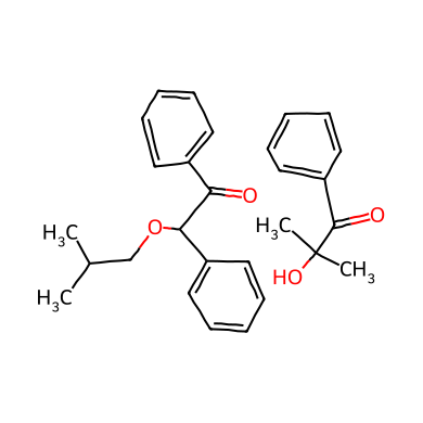 CC(C)(O)C(=O)c1ccccc1.CC(C)COC(C(=O)c1ccccc1)c1ccccc1